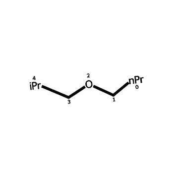 CCCCOCC(C)C